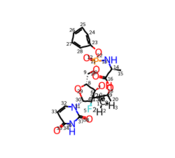 [2H][13C]([2H])([2H])[C@@]1(F)[C@H](O)[C@@H](COP(=O)(N[C@@H](C)C(=O)OC(C)C)Oc2ccccc2)O[C@H]1n1ccc(=O)[nH]c1=O